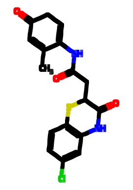 CC1=CC(=O)CC=C1NC(=O)CC1Sc2ccc(Cl)cc2NC1=O